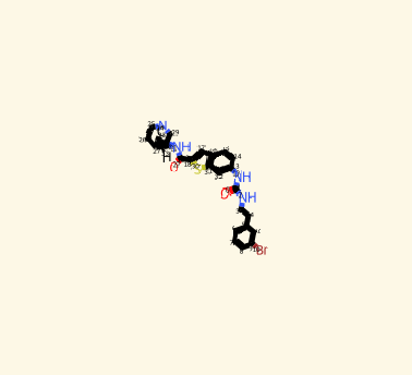 O=C(NCCc1cccc(Br)c1)Nc1ccc2cc(C(=O)N[C@H]3CN4CCC3CC4)sc2c1